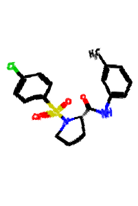 Cc1cccc(NC(=O)[C@@H]2CCCN2S(=O)(=O)c2ccc(Cl)cc2)c1